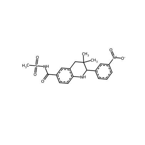 CC1(C)Cc2cc(C(=O)NS(C)(=O)=O)ccc2NC1c1cccc([N+](=O)[O-])c1